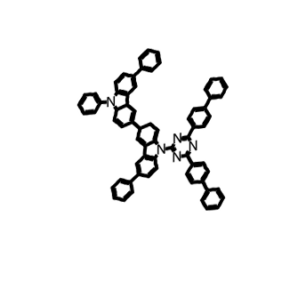 C1=CC2C(C=C1C1C=c3c(n(-c4nc(-c5ccc(-c6ccccc6)cc5)nc(-c5ccc(-c6ccccc6)cc5)n4)c4ccc(-c5ccccc5)cc34)=CC1)c1cc(-c3ccccc3)ccc1N2c1ccccc1